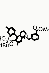 COC(=O)c1cccc(CN2CCCc3c2cc(C)c(C(OC(C)(C)C)C(=O)O)c3-c2ccc(C)cc2)c1